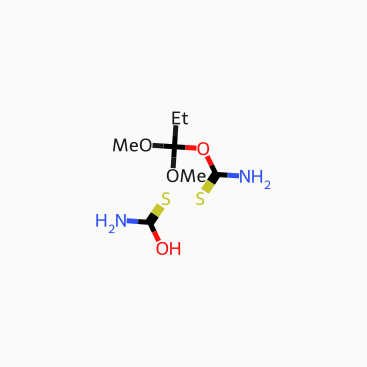 CCC(OC)(OC)OC(N)=S.NC(O)=S